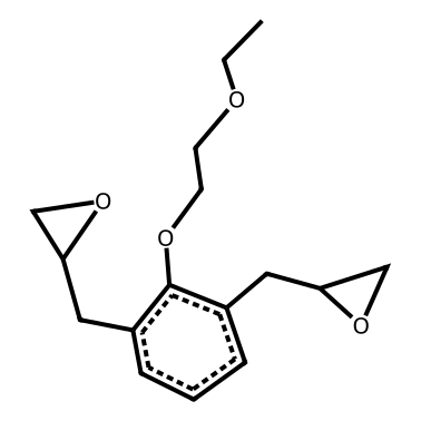 CCOCCOc1c(CC2CO2)cccc1CC1CO1